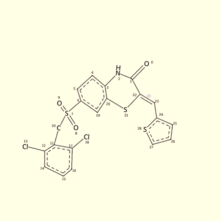 O=C1Nc2ccc(S(=O)(=O)Cc3c(Cl)cccc3Cl)cc2S/C1=C\c1cccs1